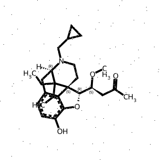 CCC1(CC)[C@H]2Cc3ccc(O)c4c3[C@@]1(CCN2CC1CC1)[C@H]([C@H](CC(C)=O)OC)O4